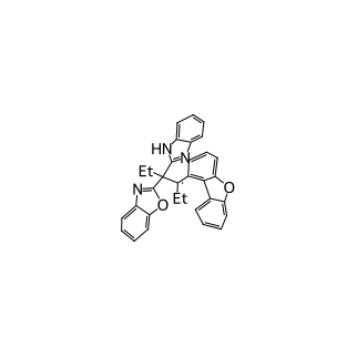 CC[C](c1cccc2oc3ccccc3c12)C(CC)(c1nc2ccccc2[nH]1)c1nc2ccccc2o1